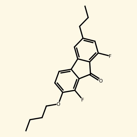 CCCCOc1ccc2c(c1F)C(=O)c1c(F)cc(CCC)cc1-2